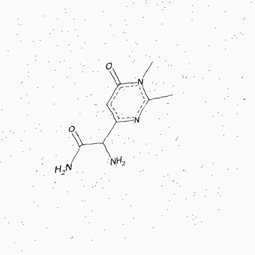 Cc1nc(C(N)C(N)=O)cc(=O)n1C